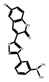 O=c1[nH]c2ccc(Cl)cc2cc1-c1nc(-c2cccc(B(O)O)c2)no1